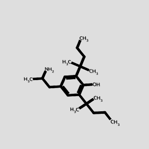 CCCC(C)(C)c1cc(CC(C)N)cc(C(C)(C)CCC)c1O